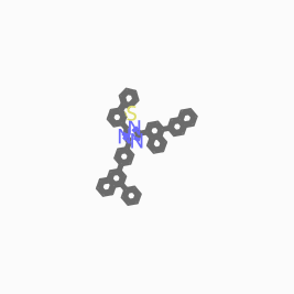 c1ccc(-c2cc(-c3ccc(-c4nc(-c5ccc(-c6ccc7ccccc7c6)c6ccccc56)nc(-c5cccc6c5sc5ccccc56)n4)cc3)cc3ccccc23)cc1